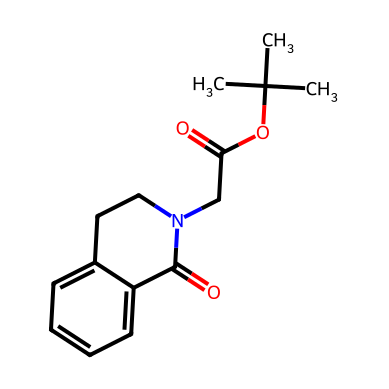 CC(C)(C)OC(=O)CN1CCc2ccccc2C1=O